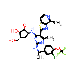 Cc1nc(N[C@H](C)c2ccc(OC(F)(F)F)c(Cl)c2)nc(NC2C[C@H](CO)[C@@H](O)[C@H]2O)c1-c1nc2c(C)nccc2s1